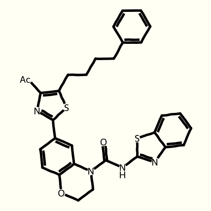 CC(=O)c1nc(-c2ccc3c(c2)N(C(=O)Nc2nc4ccccc4s2)CCO3)sc1CCCCc1ccccc1